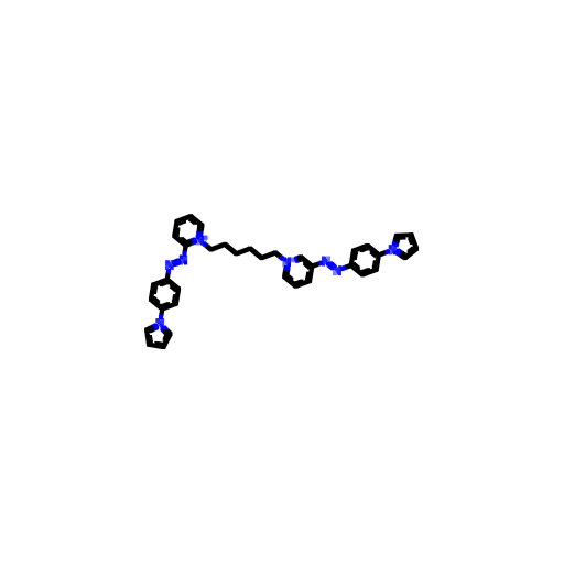 c1cc[n+](CCCCCC[n+]2cccc(/N=N/c3ccc(-n4cccc4)cc3)c2)c(/N=N/c2ccc(-n3cccc3)cc2)c1